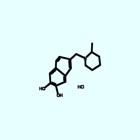 CC1CCCCN1Cc1ccc2cc(O)c(O)cc2c1.Cl